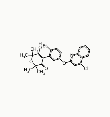 CCc1ccc(Oc2cc(Cl)c3ccccc3n2)cc1C1=C(O)C(C)(C)OC(C)(C)C1=O